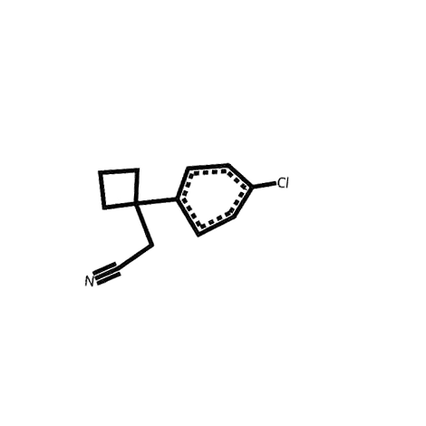 N#CCC1(c2ccc(Cl)cc2)CCC1